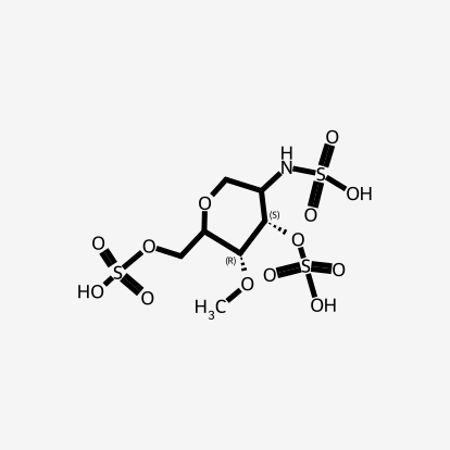 CO[C@@H]1C(COS(=O)(=O)O)OCC(NS(=O)(=O)O)[C@@H]1OS(=O)(=O)O